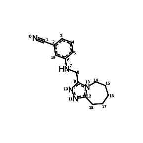 N#Cc1cccc(NCc2nnc3n2CCCCC3)c1